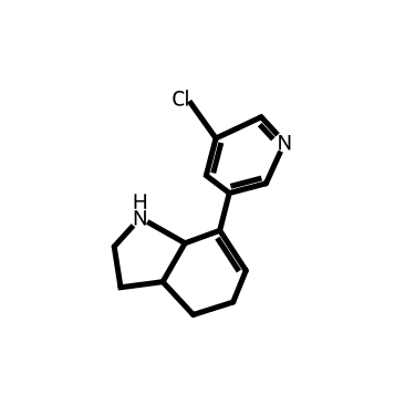 Clc1cncc(C2=CCCC3CCNC23)c1